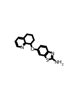 Nc1nc2ccc(OC3CCCc4cccnc43)cc2s1